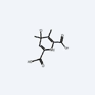 CC1=C(C(=O)O)NC(C(=O)O)=CC1(C)Cl